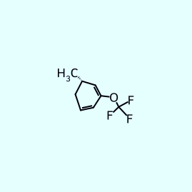 C[C@@H]1C=C(OC(F)(F)F)C=CC1